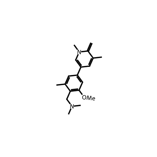 C=C1C(C)=CC(c2cc(C)c(CN(C)C)c(OC)c2)=CN1C